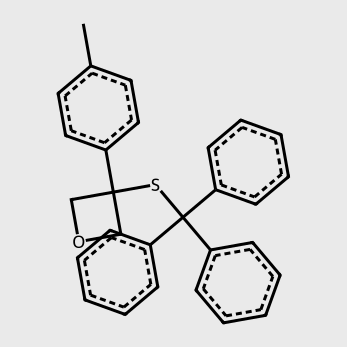 Cc1ccc(C2(SC(c3ccccc3)(c3ccccc3)c3ccccc3)COC2)cc1